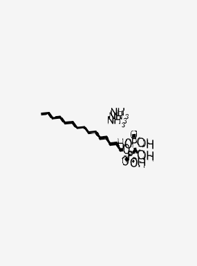 CCCCCCCCCCCCCCCOP(=O)(O)C(O)P(=O)(O)O.N.N.N